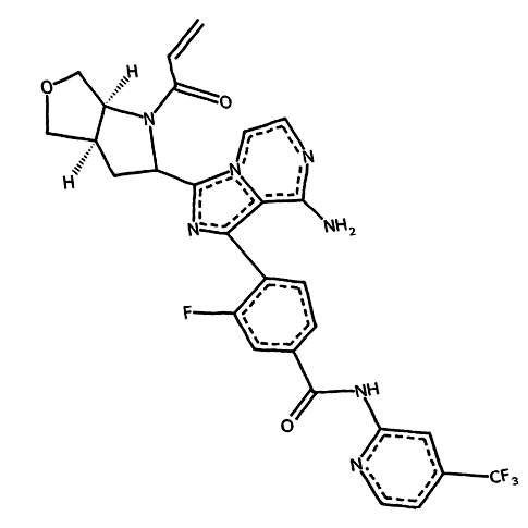 C=CC(=O)N1C(c2nc(-c3ccc(C(=O)Nc4cc(C(F)(F)F)ccn4)cc3F)c3c(N)nccn23)C[C@H]2COC[C@H]21